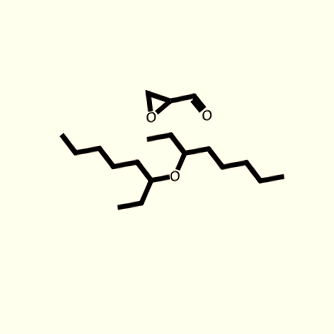 CCCCCC(CC)OC(CC)CCCCC.O=CC1CO1